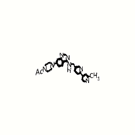 CC(=O)N1CCN(c2ccc3c(NCc4ccc(-c5ccnc(C)c5)nc4)ncnc3c2)CC1